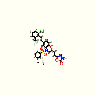 Cc1cccc(S(=O)(=O)N2C[C@H](CCc3n[nH]c(=O)o3)Oc3ccc(/C=C/c4c(Cl)cccc4C(F)(F)F)cc32)c1